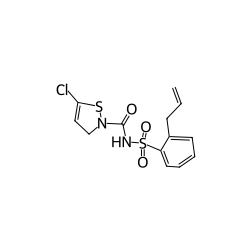 C=CCc1ccccc1S(=O)(=O)NC(=O)N1CC=C(Cl)S1